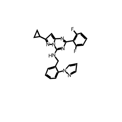 Fc1cccc(F)c1-c1nc(NCc2ccccc2-n2cccn2)n2nc(C3CC3)cc2n1